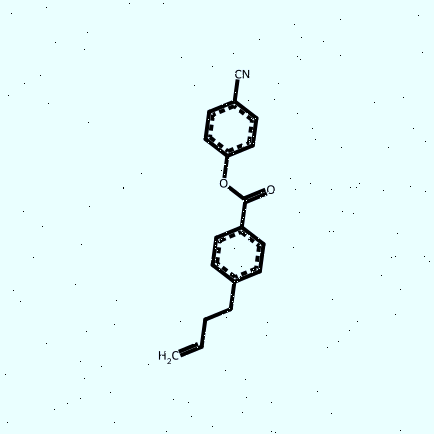 C=CCCc1ccc(C(=O)Oc2ccc(C#N)cc2)cc1